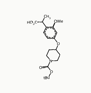 COc1cc(OC2CCN(C(=O)OC(C)(C)C)CC2)ccc1C(C)C(=O)O